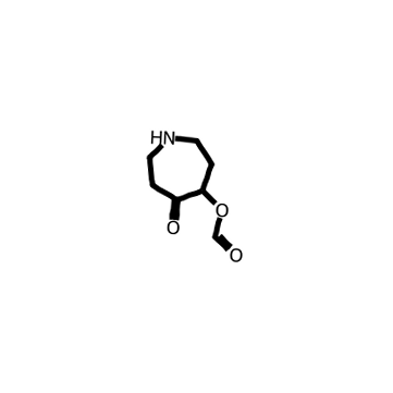 O=COC1CCNCCC1=O